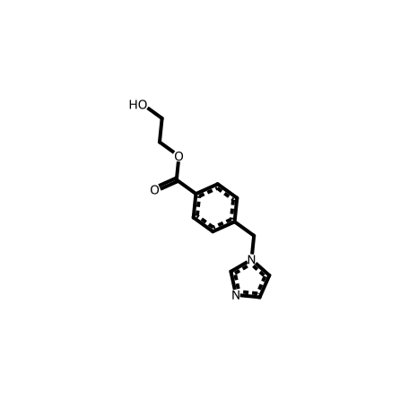 O=C(OCCO)c1ccc(Cn2ccnc2)cc1